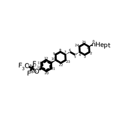 CCCCCCC[C@H]1CC[C@H](CC[C@H]2CC[C@H](c3ccc(OC(F)(F)C(F)(F)F)cc3)CC2)CC1